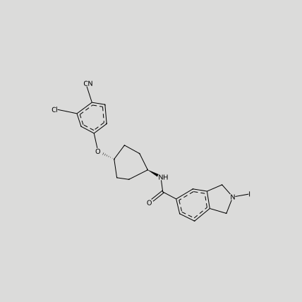 N#Cc1ccc(O[C@H]2CC[C@H](NC(=O)c3ccc4c(c3)CN(I)C4)CC2)cc1Cl